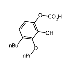 CCCCc1ccc(OC(=O)O)c(O)c1OCCC